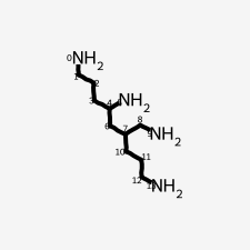 NCCCC(N)CC(CN)CCCN